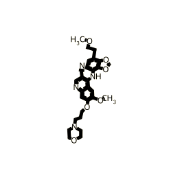 COCCc1ccc(Nc2c(C#N)cnc3cc(OCCCN4CCOCC4)c(OC)cc23)c2c1OCO2